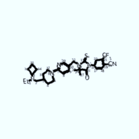 CCN(CC1CCN(c2ccc(CN3C(=S)N(c4ccc(C#N)c(C(F)(F)F)c4)C(=O)C3(C)C)cn2)CC1)C1CCC1